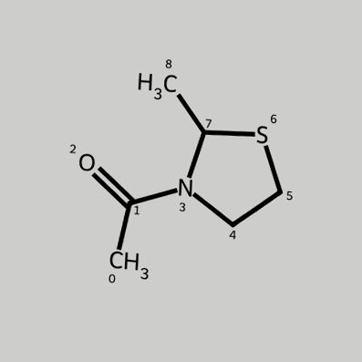 CC(=O)N1CCSC1C